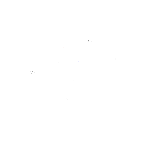 COC(=O)N(CCC(=O)O)c1cc(OC)cc(OC)c1